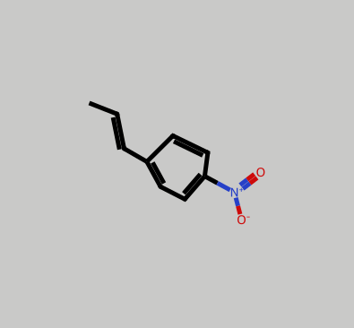 CC=Cc1ccc([N+](=O)[O-])cc1